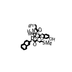 CSCC[C@@H](C(=O)Nc1ccc2ccccc2c1)N(C(=O)OC(C)(C)C)C(=O)[C@H](Cc1ccc(O)cc1)NC(=O)[C@H](N)CC(C)C